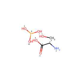 CO.NCC(=O)O.OP(O)O